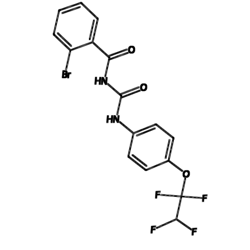 O=C(NC(=O)c1ccccc1Br)Nc1ccc(OC(F)(F)C(F)F)cc1